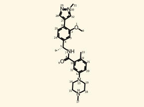 COc1cc([C@@H](C)NC(=O)c2cc(N3CCN(C)CC3)ccc2C)ccc1-c1cnn(C)c1